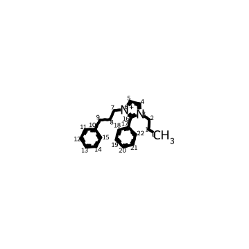 CCCn1cc[n+](CCCc2ccccc2)c1-c1ccccc1